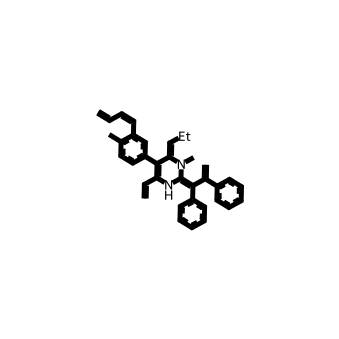 C=C/C=C\c1cc(C2=C(C=C)N/C(=C(/C(=C)c3ccccc3)c3ccccc3)N(C)/C2=C\CC)ccc1C